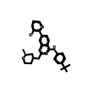 C[C@H]1CN(Cc2nc(Nc3ccc(C(C)(C)C)cc3)c3ccc(-c4ncccc4Cl)cc3n2)CCO1